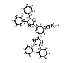 [Cl-].[Cl-].[Fe+2].c1ccc(C2N=C(c3cccc(C4=NC(c5ccccc5)C(c5ccccc5)O4)n3)OC2c2ccccc2)cc1